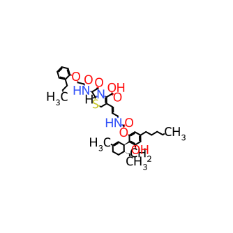 C=C(C)[C@@H]1CCC(C)=C[C@H]1c1c(O)cc(CCCCC)cc1OC(=O)NC/C=C/C1=C(C(=O)O)N2C(=O)[C@@H](NC(=O)COc3ccccc3CCC)[C@H]2SC1